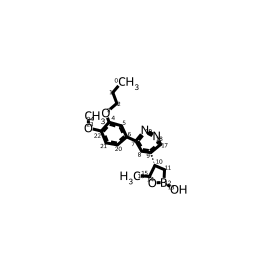 CCCOc1cc(-c2cc([C@@H]3CB(O)OC3C)cnn2)ccc1OC